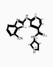 N#Cc1cccc2nc(Nc3cc(C(=O)NC4CCNC4)ccn3)sc12